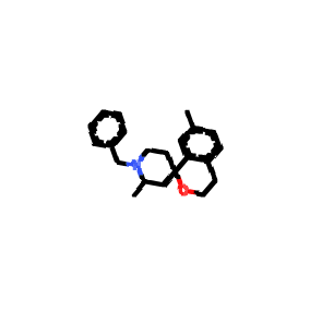 Cc1ccc2c(c1)C1(CCN(Cc3ccccc3)C(C)C1)OCC2